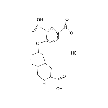 Cl.O=C(O)c1cc([N+](=O)[O-])ccc1OC1CCC2CNC(C(=O)O)CC2C1